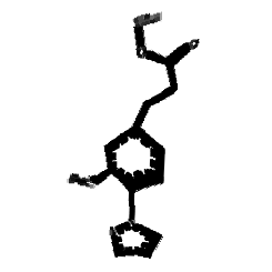 CC(=O)c1cc(CCC(=O)OC(C)(C)C)ccc1-n1cccn1